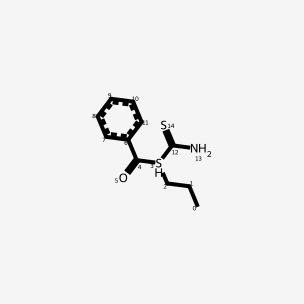 CCC[SH](C(=O)c1ccccc1)C(N)=S